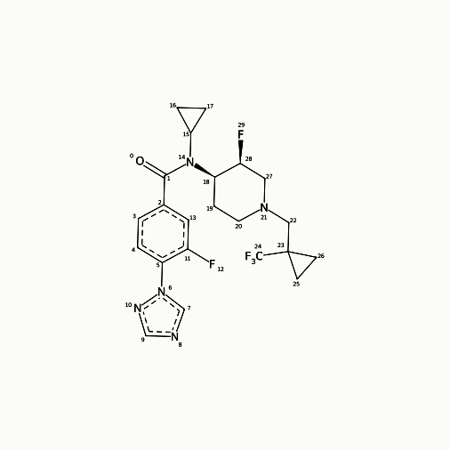 O=C(c1ccc(-n2cncn2)c(F)c1)N(C1CC1)[C@@H]1CCN(CC2(C(F)(F)F)CC2)C[C@@H]1F